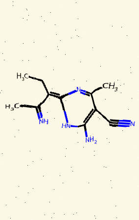 CC/C(C(C)=N)=C1\N=C(C)C(C#N)=C(N)N1